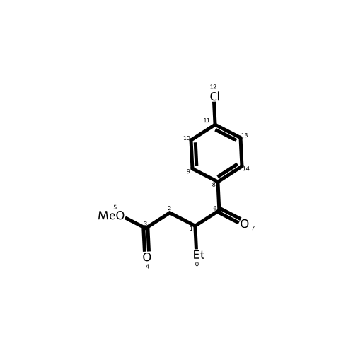 CCC(CC(=O)OC)C(=O)c1ccc(Cl)cc1